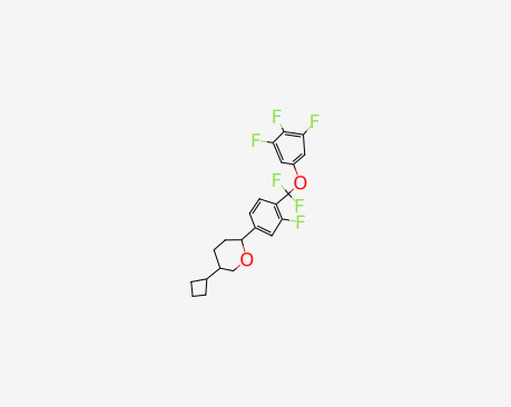 Fc1cc(C2CCC(C3CCC3)CO2)ccc1C(F)(F)Oc1cc(F)c(F)c(F)c1